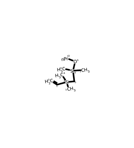 C=C[Si](C)(C)C[Si](C)(C)OCCC